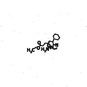 CCOC(=O)CCC(=CC(c1ncc[nH]1)C1CCCCC1)ON